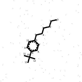 [CH2]CCCCCc1ccc(C(C)(C)C)cc1